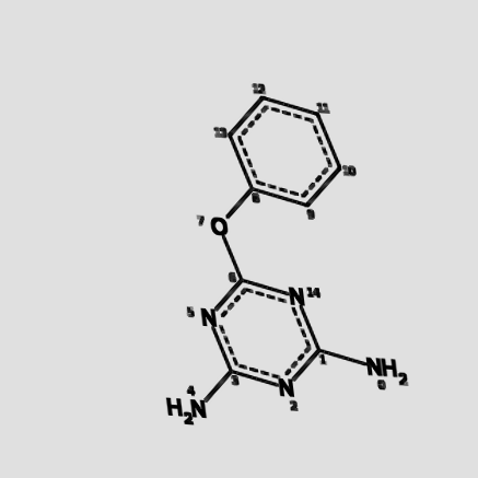 Nc1nc(N)nc(Oc2ccccc2)n1